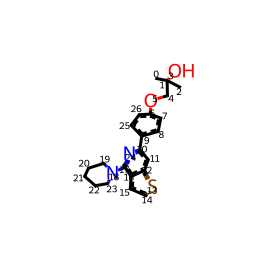 CC(C)(O)COc1ccc(-c2cc3sccc3c(N3CCCCC3)n2)cc1